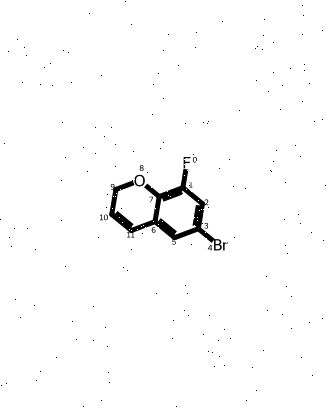 Fc1cc(Br)cc2c1OCC=C2